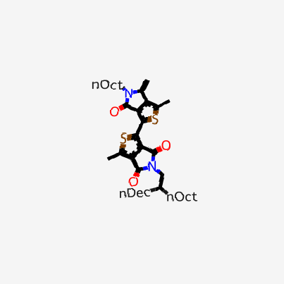 C=C1c2c(C)sc(-c3sc(C)c4c3C(=O)N(CC(CCCCCCCC)CCCCCCCCCC)C4=O)c2C(=O)N1CCCCCCCC